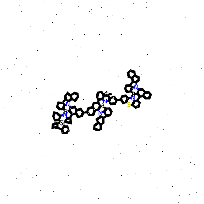 C[Si]1(C)c2cc(-c3ccc4c(c3)Sc3cccc5c3N4B3c4c(cc6ccccc6c4-5)-n4c5ccc6ccccc6c5c5cccc3c54)ccc2N2B3c4c(cc5cc(-c6ccc7c8c9c(cc7c6)-n6c7c(cccc7c7ccc%10ccccc%10c76)B9N6c7ccccc7[Si]7(c9ccccc9-c9ccccc97)c7cccc-8c76)ccc5c4-n4c5cc6ccccc6cc5c5cccc3c54)-c3cccc1c32